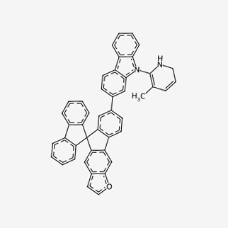 CC1=C(n2c3ccccc3c3ccc(-c4ccc5c(c4)C4(c6ccccc6-c6ccccc64)c4cc6ccoc6cc4-5)cc32)NCC=C1